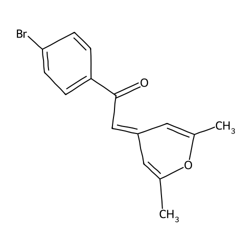 CC1=CC(=CC(=O)c2ccc(Br)cc2)C=C(C)O1